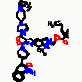 C=CCC1(C(=O)OCn2cc3cc(C[C@H](NC(=O)N4CCC(c5cc6ccccc6[nH]c5=O)CC4)C(=O)N4CCN(C5CCN(C)CC5)CC4)cc(C)c3n2)CC1